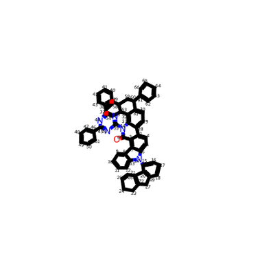 O=c1c2c(ccc3c2c2ccccc2n3-c2cccc3c2C2=C(CCC=C2)C3)c2ccc3c(c2n1-c1nc(-c2ccccc2)nc(-c2ccccc2)n1)C1C=CC=CC1CC3c1ccccc1